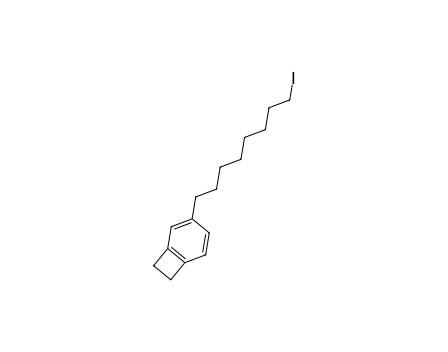 ICCCCCCCCc1ccc2c(c1)CC2